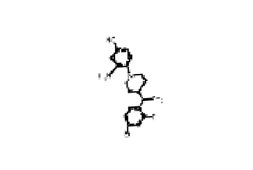 C=C(c1ccc(CC)cc1F)C1CCN(c2ccc(C#N)cc2N)CC1